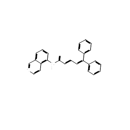 O=C(/C=C/C=C(c1ccccc1)c1ccccc1)Nc1cccc2cnccc12